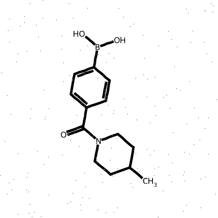 CC1CCN(C(=O)c2ccc(B(O)O)cc2)CC1